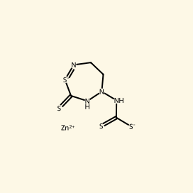 S=C([S-])NN1CCN=[S-]C(=S)N1.[Zn+2]